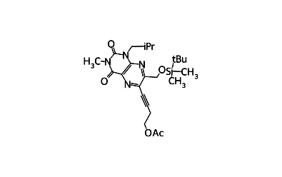 CC(=O)OCCC#Cc1nc2c(=O)n(C)c(=O)n(CC(C)C)c2nc1CO[Si](C)(C)C(C)(C)C